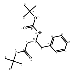 CC(C)(C)OC(=O)C[C@@H](Cc1ccccc1)NC(=O)OC(C)(C)C